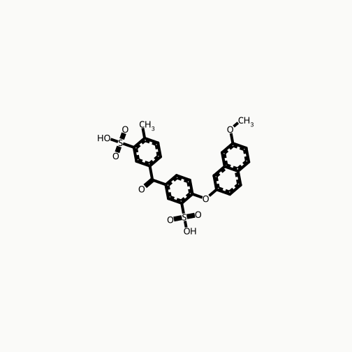 COc1ccc2ccc(Oc3ccc(C(=O)c4ccc(C)c(S(=O)(=O)O)c4)cc3S(=O)(=O)O)cc2c1